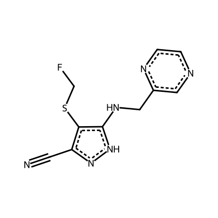 N#Cc1n[nH]c(NCc2cnccn2)c1SCF